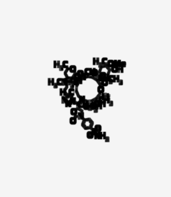 CC[C@H]1OC(=O)[C@H](C)[C@@H](O[C@H]2C[C@@](C)(OC)[C@@H](O)[C@H](C)O2)[C@H](C)[C@@H](O[C@@H]2O[C@H](C)C[C@H](N(C)CCc3cn(C[C@H]4CN(c5ccc(S(N)(=O)=O)cc5)C(=O)O4)nn3)[C@H]2O)[C@](C)(O)C[C@@H](C)CN(C)[C@H](C)[C@@H](O)[C@]1(C)O